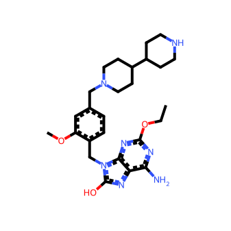 CCOc1nc(N)c2nc(O)n(Cc3ccc(CN4CCC(C5CCNCC5)CC4)cc3OC)c2n1